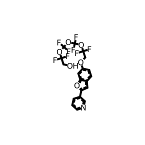 OCC(F)(F)OC(F)(F)OC(F)(F)OC(F)(F)COc1ccc2cc(-c3cccnc3)oc2c1